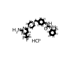 Cl.Nc1nc(N2CCN(Cc3ccc(NC(=O)Nc4ccccc4F)cc3)CC2)cc(C(F)(F)F)n1